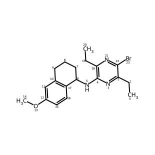 CCc1nc(NC2CCCc3cc(OC)ccc32)c(CC)nc1Br